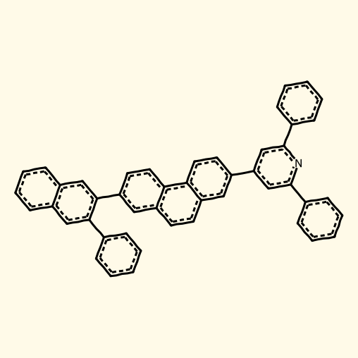 c1ccc(-c2cc(-c3ccc4c(ccc5cc(-c6cc7ccccc7cc6-c6ccccc6)ccc54)c3)cc(-c3ccccc3)n2)cc1